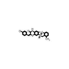 Cc1cccc(C)c1CS(=O)(=O)c1ccc2c(c1)S/C(=C/c1ccc(Cl)cc1)C(=O)N2